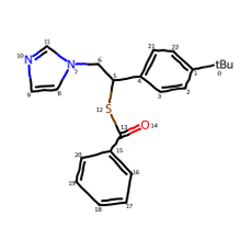 CC(C)(C)c1ccc(C(Cn2ccnc2)SC(=O)c2ccccc2)cc1